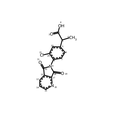 CC(C(=O)O)c1ccc(N2C(=O)c3cccnc3C2=O)c(Cl)c1